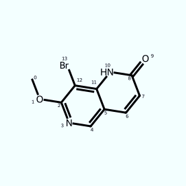 COc1ncc2ccc(=O)[nH]c2c1Br